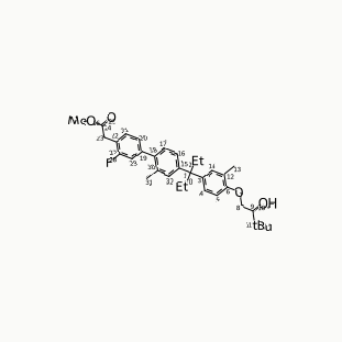 CCC(CC)(c1ccc(OCC(O)C(C)(C)C)c(C)c1)c1ccc(-c2ccc(CC(=O)OC)c(F)c2)c(C)c1